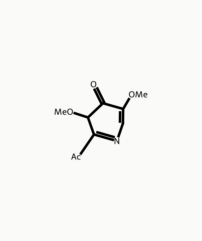 COC1=CN=C(C(C)=O)C(OC)C1=O